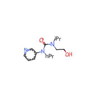 [CH2]CCN(C(=O)N(CCO)C(C)C)c1cccnc1